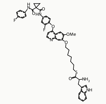 COc1cc2c(Oc3ccc(NC(=O)C4(C(=O)Nc5ccc(F)cc5)CC4)cc3F)ccnc2cc1OCCCCCCCSC(=O)C(N)Cc1c[nH]c2ccccc12